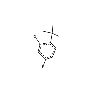 CC(C)(C)c1ccc(F)c[n+]1[O-]